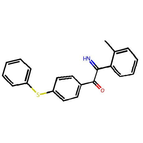 Cc1ccccc1C(=N)C(=O)c1ccc(Sc2ccccc2)cc1